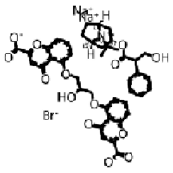 CC(C)[N@@+]1(C)[C@@H]2CC[C@H]1C[C@@H](OC(=O)C(CO)c1ccccc1)C2.O=C([O-])c1cc(=O)c2c(OCC(O)COc3cccc4oc(C(=O)[O-])cc(=O)c34)cccc2o1.[Br-].[Na+].[Na+]